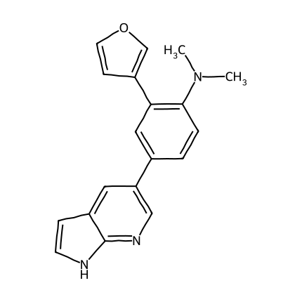 CN(C)c1ccc(-c2cnc3[nH]ccc3c2)cc1-c1ccoc1